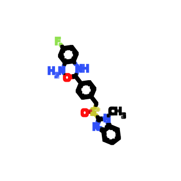 Cn1c([S+]([O-])Cc2ccc(C(=O)Nc3ccc(F)cc3N)cc2)nc2ccccc21